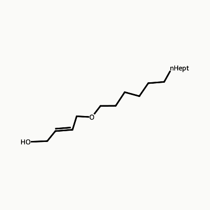 CCCCCCCCCCCCCOC/C=C/CO